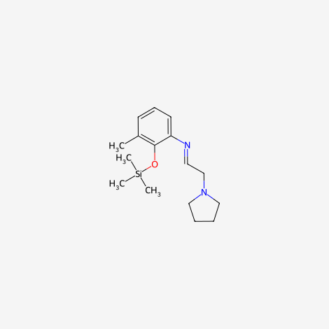 Cc1cccc(N=CCN2CCCC2)c1O[Si](C)(C)C